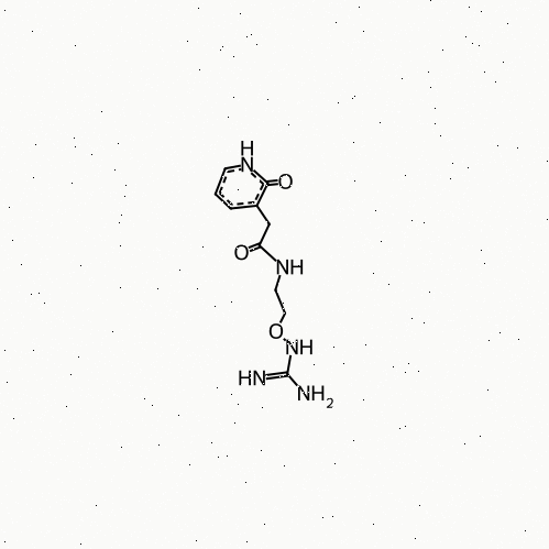 N=C(N)NOCCNC(=O)Cc1ccc[nH]c1=O